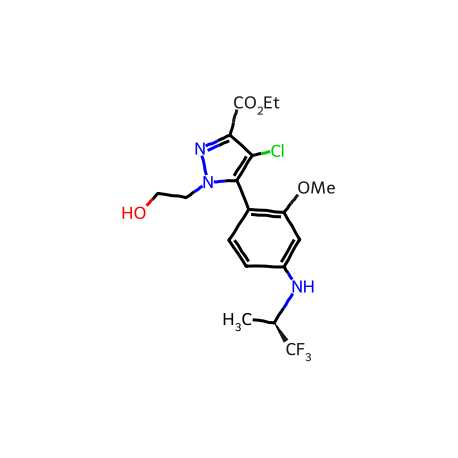 CCOC(=O)c1nn(CCO)c(-c2ccc(N[C@H](C)C(F)(F)F)cc2OC)c1Cl